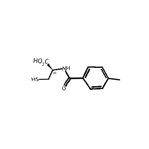 Cc1ccc(C(=O)N[C@@H](CS)C(=O)O)cc1